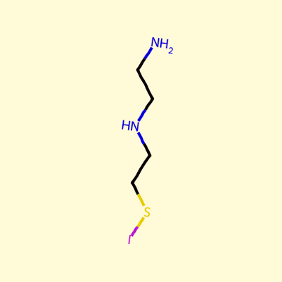 NCCNCCSI